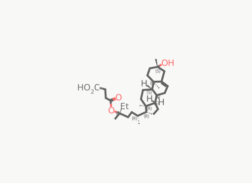 CC[C@@](C)(CC[C@@H](C)[C@H]1CC[C@H]2[C@@H]3CC=C4C[C@@](C)(O)CC[C@]4(C)[C@H]3CC[C@]12C)OC(=O)CCC(=O)O